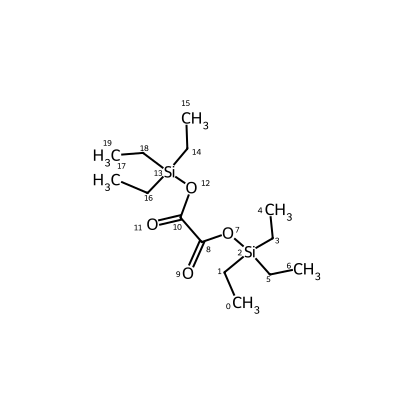 CC[Si](CC)(CC)OC(=O)C(=O)O[Si](CC)(CC)CC